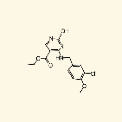 CCOC(=O)c1cnc(O)nc1NCc1ccc(OC)c(Cl)c1